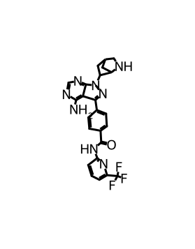 Nc1ncnc2c1c(-c1ccc(C(=O)Nc3cccc(C(F)(F)F)n3)cc1)nn2C1CC2CNC1C2